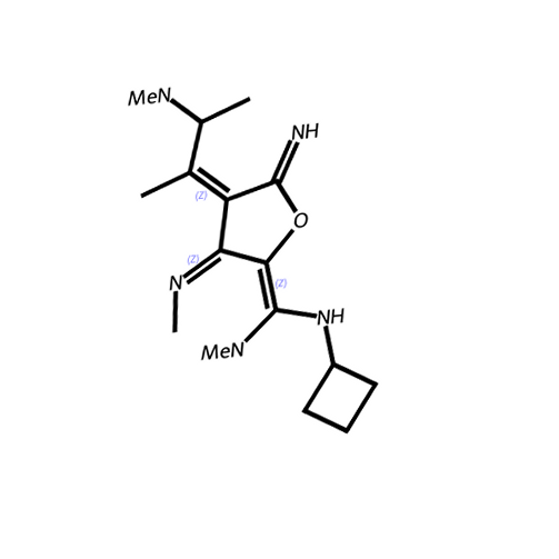 C/N=C1C(=C(/NC)NC2CCC2)\OC(=N)C\1=C(\C)C(C)NC